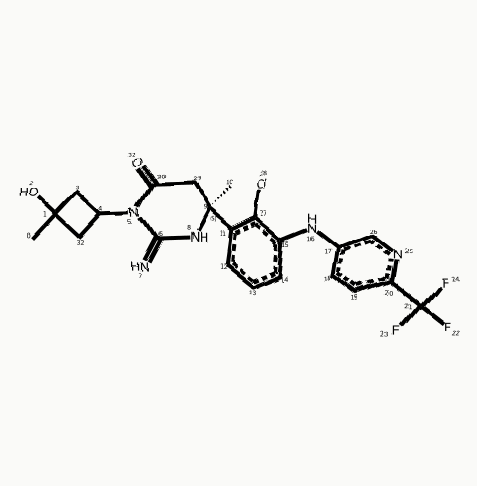 CC1(O)CC(N2C(=N)N[C@](C)(c3cccc(Nc4ccc(C(F)(F)F)nc4)c3Cl)CC2=O)C1